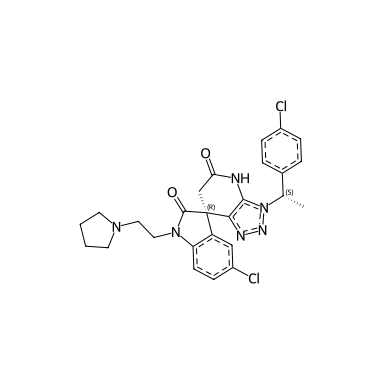 C[C@@H](c1ccc(Cl)cc1)n1nnc2c1NC(=O)C[C@]21C(=O)N(CCN2CCCC2)c2ccc(Cl)cc21